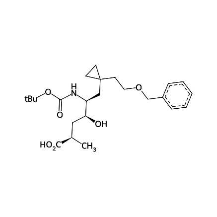 C[C@H](C[C@H](O)[C@H](CC1(CCOCc2ccccc2)CC1)NC(=O)OC(C)(C)C)C(=O)O